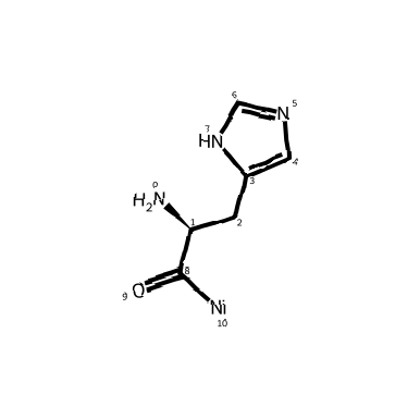 N[C@@H](Cc1cnc[nH]1)[C](=O)[Ni]